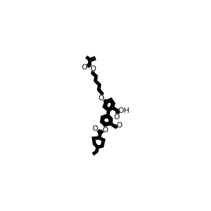 C=C(C)C(=O)OCCCCCCOc1ccc(C(=O)O)c(-c2ccc(OC(=O)C3CCC(CC)CC3)c(C=O)c2)c1